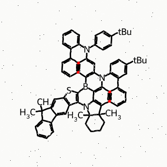 CC(C)(C)c1ccc(N(c2ccc3c(c2)N(c2ccc(C(C)(C)C)cc2-c2ccccc2)c2ccc4c5c2B3c2sc3cc6c(cc3c2N5C2(C)CCCCC42C)-c2ccccc2C6(C)C)c2ccccc2-c2ccccc2)cc1